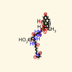 CCC(=O)O[C@]1(C(=O)COCNC(=O)CNC(=O)[C@H](CCC(=O)O)NC(=O)CNC(=O)CCCCCN2C(=O)C=CC2=O)[C@@H](C)CC2[C@@H]3CCC4=CC(=O)C=C[C@]4(C)[C@@]3(Cl)[C@@H](O)C[C@@]21C